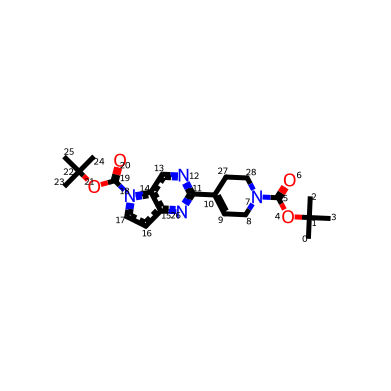 CC(C)(C)OC(=O)N1CC=C(c2ncc3c(ccn3C(=O)OC(C)(C)C)n2)CC1